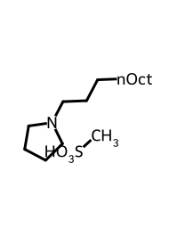 CCCCCCCCCCCN1CCCC1.CS(=O)(=O)O